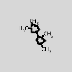 Cc1ccc(-c2ccc(C)c(C)c2)c(C)c1